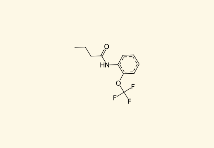 CCCC(=O)Nc1ccccc1OC(F)(F)F